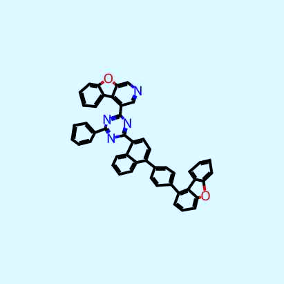 c1ccc(-c2nc(-c3ccc(-c4ccc(-c5cccc6oc7ccccc7c56)cc4)c4ccccc34)nc(-c3cncc4oc5ccccc5c34)n2)cc1